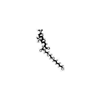 CN(C)c1cc2c(s1)-c1sc(/C=C3\SC(=O)N(CCOCCOCCCCCCCl)C3=O)cc1[Si]2(C)C